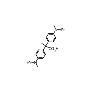 CC(C)N(C)c1ccc(C(C)(C(=O)O)c2ccc(N(C)C(C)C)cc2)cc1